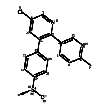 Cc1ccc(-c2ncc(Cl)cc2-c2ccc([S@+](C)[O-])cc2)cn1